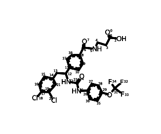 O=C(O)CCNC(=O)c1ccc(C(Cc2ccc(Cl)c(Cl)c2)NC(=O)Nc2ccc(OC(F)(F)F)cc2)cc1